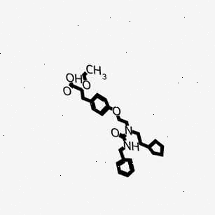 CCOC(Cc1ccc(OCCN(CCC2CCCC2)C(=O)NCc2ccccc2)cc1)C(=O)O